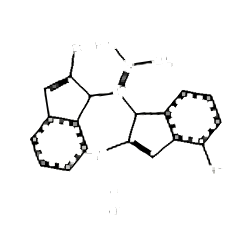 CCC1=Cc2ccccc2[CH]1[Ti+2]([CH]1C(C)=Cc2c(C(C)C)cccc21)=[Si](C)C.[Cl-].[Cl-]